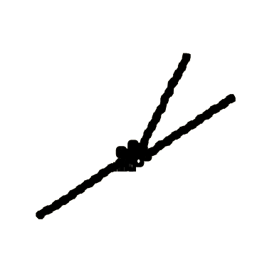 C#CC#CC#CC#CC#CC#CC#CC#CC#CC#CC#COC(=O)CC(CC(=O)OC#CC#CC#CC#CC#CC#CC#CC#CC#CC#CC#C)(OC(=O)CCCC)C(=O)OC#CC#CC#CC#CC#CC#CC#CC#CC#CC#CC#C